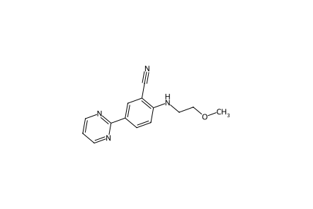 COCCNc1ccc(-c2ncccn2)cc1C#N